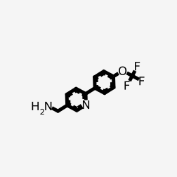 NCc1ccc(-c2ccc(OC(F)(F)F)cc2)nc1